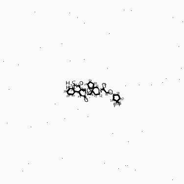 CN(C)C(=O)c1cn(CC2(O)CCN(C(=O)COC3CCC(F)(F)C3)CC23CCCC3)c(=O)cc1-c1ccccc1